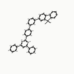 CC1(C)c2ccccc2-c2ccc(-c3cccc(-c4ccc(-c5nc(-c6ccccc6)cc(-c6ccccc6)n5)cc4)c3)cc21